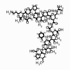 CSCC[C@H](NC(=O)[C@@H](NC(=O)[C@H](Cc1ccccc1)NC(=O)[C@@H](NC(=O)[C@H](CC(=O)O)NC(=O)CNC(=O)[C@H](CCCNC(=N)N)NC(=O)[C@@H](NC(=O)[C@@H](NC(=O)[C@H](CCC(N)=O)NC(=O)[C@@H]1CCCN1C(=O)CNC(=O)[C@H](CCCCN)NC(C)=O)C(C)C)[C@@H](C)O)C(C)C)[C@@H](C)O)C(=O)N1CCC[C@H]1C(=O)O